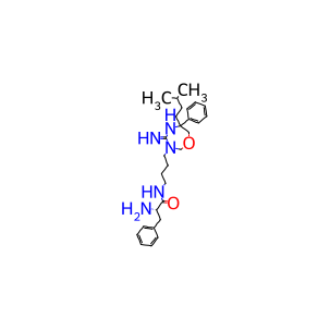 CC(C)CCC1(c2ccccc2)COCN(CCCCNC(=O)[C@@H](N)Cc2ccccc2)C(=N)N1